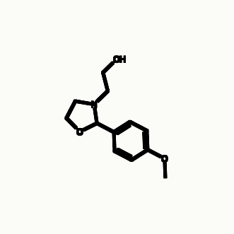 COc1ccc(C2OCCN2CCO)cc1